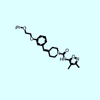 Cc1noc(NC(=O)N2CCC(=Cc3cccc(OCCOC(C)C)c3)CC2)c1C